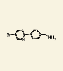 NCc1ccc(-c2ccc(Br)cn2)cc1